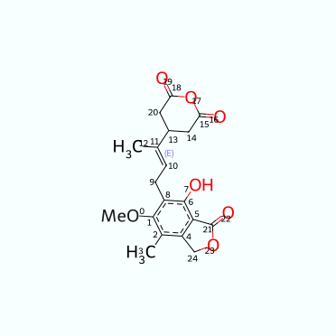 COc1c(C)c2c(c(O)c1C/C=C(\C)C1CC(=O)OC(=O)C1)C(=O)OC2